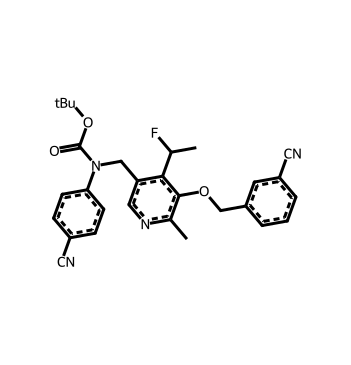 Cc1ncc(CN(C(=O)OC(C)(C)C)c2ccc(C#N)cc2)c(C(C)F)c1OCc1cccc(C#N)c1